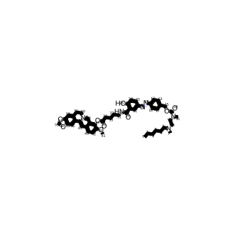 CCCCCCN(C)CCN(C)C(=O)OCc1ccc(/N=N/c2ccc(O)c(C(=O)NCCCCC(=O)Oc3c(OC)ccc4cc5[n+](cc34)CCc3cc4c(cc3-5)OCO4)c2)cc1